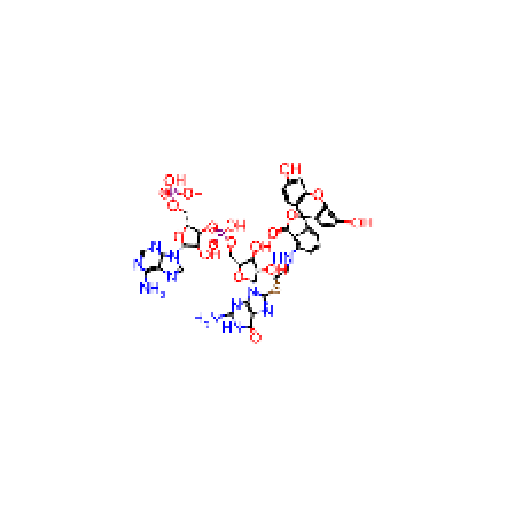 Nc1nc2c(nc(SCCNc3cccc4c3C(=O)OC43c4ccc(O)cc4Oc4cc(O)ccc43)n2[C@@H]2O[C@H](COP(=O)(O)O[C@H]3[C@@H](O)[C@H](n4cnc5c(N)ncnc54)O[C@@H]3COP(=O)(O)O)[C@@H](O)[C@H]2O)c(=O)[nH]1